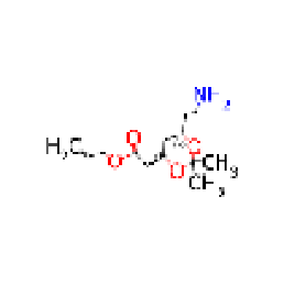 C=CCOC(=O)C[C@H]1C[C@@H](CCN)OC(C)(C)O1